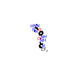 O=C(NCc1ccc(C(F)(F)F)nc1)Nc1ccc(Oc2ncnc3[nH]cnc23)cc1